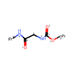 CCCOC(=O)NCC(=O)NC(C)C